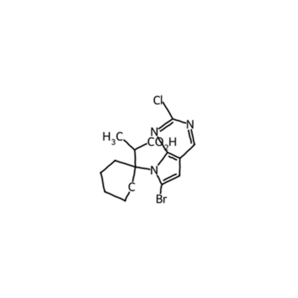 CC(C(=O)O)C1(n2c(Br)cc3cnc(Cl)nc32)CCCCC1